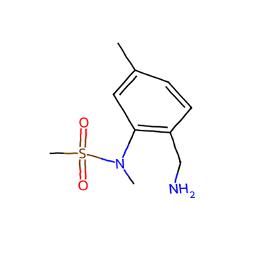 Cc1ccc(CN)c(N(C)S(C)(=O)=O)c1